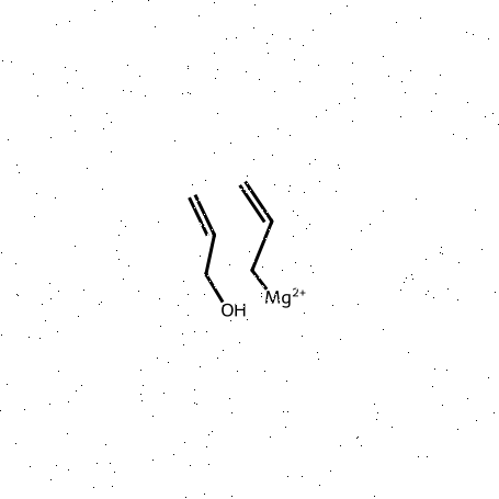 C=CCO.C=C[CH2][Mg+2]